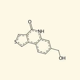 O=c1[nH]c2cc(CO)ccc2c2cscc12